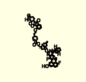 C#Cc1c(F)ccc2cc(O)cc(-c3ncc4c(N5C[C@H]6CC[C@@H](C5)N6)nc(OC[C@@]56CC[C@@H](COC(=O)N7CCC(CCOc8cccc9c8C(=O)N(C8CCC(=O)NC8=O)C9=O)CC7)N5CC(=C)C6)nc4c3F)c12